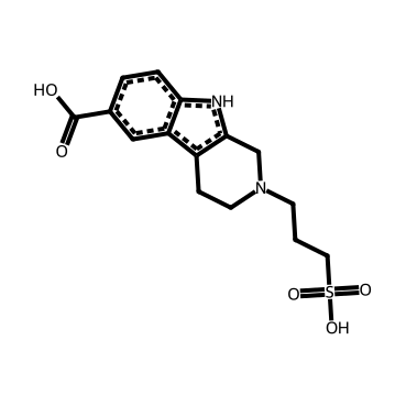 O=C(O)c1ccc2[nH]c3c(c2c1)CCN(CCCS(=O)(=O)O)C3